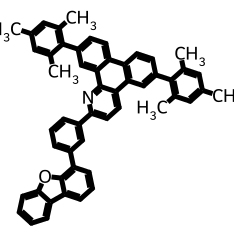 Cc1cc(C)c(-c2ccc3c(c2)c2ccc(-c4cccc(-c5cccc6c5oc5ccccc56)c4)nc2c2cc(-c4c(C)cc(C)cc4C)ccc32)c(C)c1